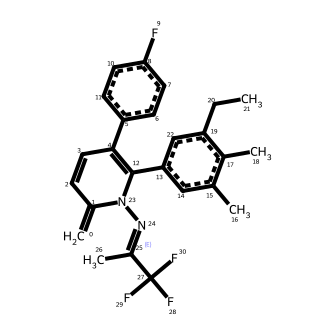 C=C1C=CC(c2ccc(F)cc2)=C(c2cc(C)c(C)c(CC)c2)N1/N=C(\C)C(F)(F)F